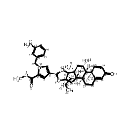 COC(=O)c1cc([C@@H]2O[C@@H]3C[C@H]4[C@@H]5CCC6=CC(=O)C=C[C@]6(C)[C@H]5[C@@H](O)C[C@]4(C)[C@]3(C(=O)CO)O2)cn1Cc1cccc(N)c1